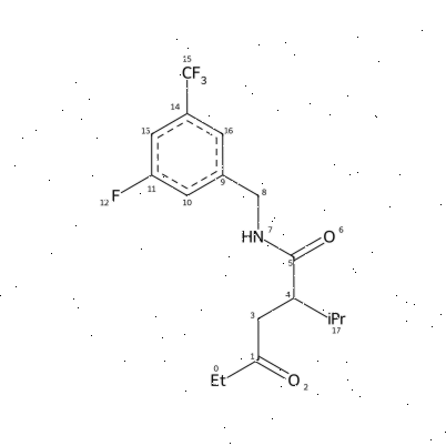 CCC(=O)CC(C(=O)NCc1cc(F)cc(C(F)(F)F)c1)C(C)C